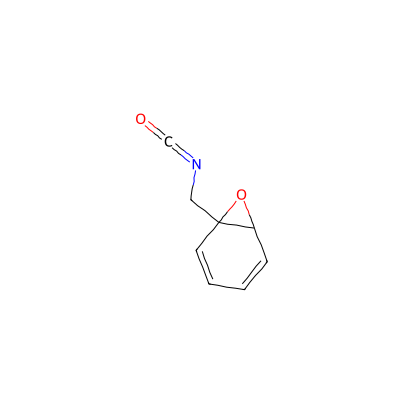 O=C=NCC12C=CC=CC1O2